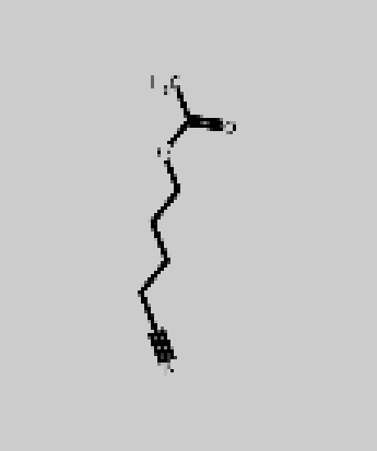 CC(=O)OCCCCC#N